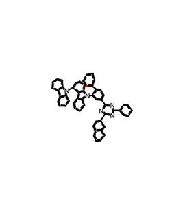 c1ccc(-c2nc(-c3ccc(-c4ccccc4)c(-n4c5ccccc5c5c(-n6c7ccccc7c7ccccc76)cccc54)c3)nc(-c3ccc4ccccc4c3)n2)cc1